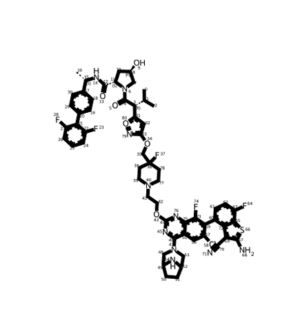 CC(C)[C@@H](C(=O)N1C[C@H](O)C[C@H]1C(=O)N[C@@H](C)c1ccc(-c2c(F)cccc2F)cc1)c1cc(OCC2(F)CCN(CCOc3nc(N4CC5CCC(C4)N5)c4cc(Cl)c(-c5ccc(F)c6sc(N)c(C#N)c56)c(F)c4n3)CC2)no1